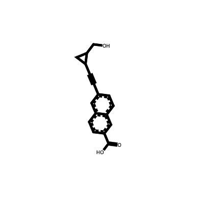 O=C(O)c1ccc2cc(C#CC3CC3CO)ccc2c1